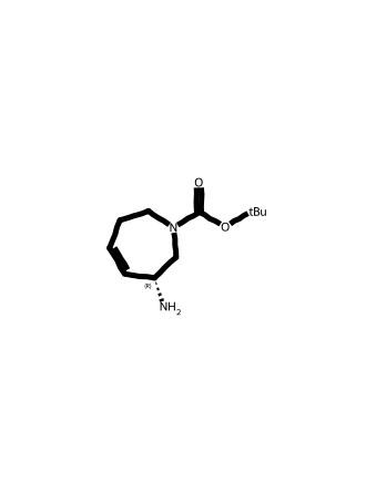 CC(C)(C)OC(=O)N1CCC=C[C@@H](N)C1